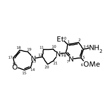 CCc1cc(N)c(OC)nc1N1CCC(N2C=COC=CC2)CC1